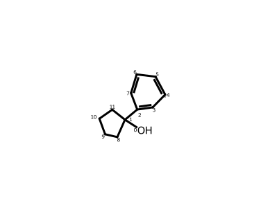 OC1(c2c[c]ccc2)CCCC1